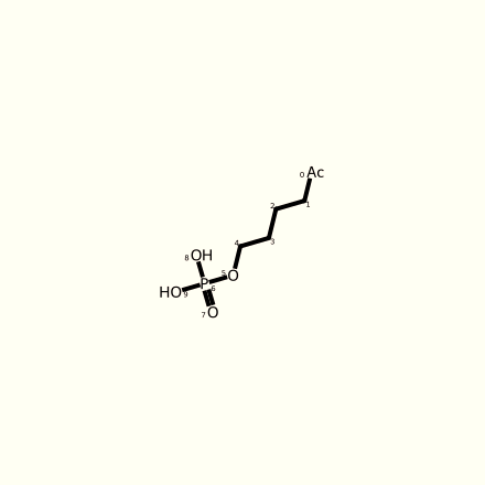 CC(=O)CCCCOP(=O)(O)O